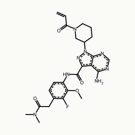 C=CC(=O)N1CCCC(n2nc(C(=O)Nc3ccc(CC(=O)N(C)C)c(F)c3OC)c3c(N)ncnc32)C1